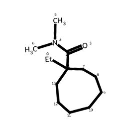 CCC1(C(=O)N(C)C)CCCCCCC1